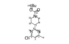 Cc1cc(Cl)nc(C2CCN(C(=O)OC(C)(C)C)CC2)n1